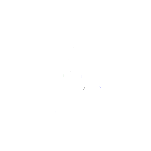 C[C@@H]1Cc2c([nH]c3ccccc23)[C@@H](c2c(F)cc(C(=O)C3CN(CCCF)C3)cc2F)N1CC(F)(F)CO[Si](c1ccccc1)(c1ccccc1)C(C)(C)C